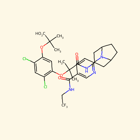 CC(C)(Oc1cc(OC(C)(C)C(=O)NC2CC3CCC(C2)N3c2ccc(C(=O)NCC(F)(F)F)cn2)c(Cl)cc1Cl)C(=O)O